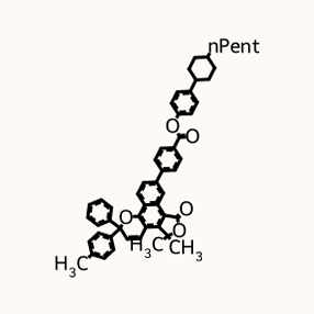 CCCCCC1CCC(c2ccc(OC(=O)c3ccc(-c4ccc5c6c(c7c(c5c4)C(=O)OC7(C)C)C=CC(c4ccccc4)(c4ccc(C)cc4)O6)cc3)cc2)CC1